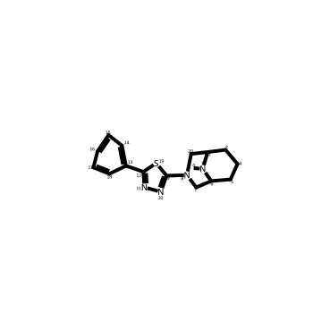 CN1C2CCCC1CN(c1nnc(-c3ccccc3)s1)C2